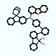 CC1(C)c2ccccc2-c2cccc(-c3ccccc3-c3ccc(N(c4ccc5c(c4)C4(CC6CCC4C6)c4ccccc4-5)c4cccc5c4sc4ccccc45)cc3)c21